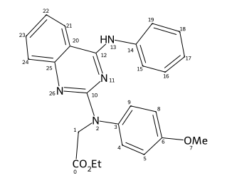 CCOC(=O)CN(c1ccc(OC)cc1)c1nc(Nc2ccccc2)c2ccccc2n1